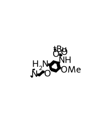 COc1cc(OCCN(C)C)c(N)cc1NC(=O)OC(C)(C)C